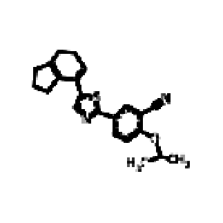 CC(C)Oc1ccc(-c2ncc(C3=CCCC4=C3CCC4)s2)cc1C#N